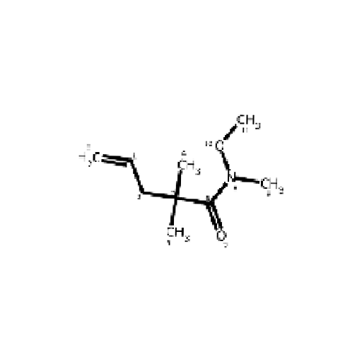 C=CCC(C)(C)C(=O)N(C)OC